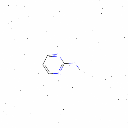 N#CNc1ncccn1